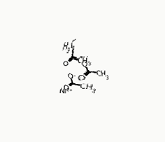 CC(=O)[O-].CC(=O)[O-].CC(C)=O.[Ni+2]